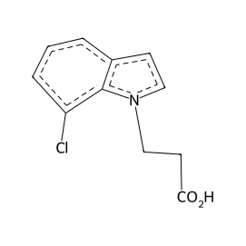 O=C(O)CCn1ccc2cccc(Cl)c21